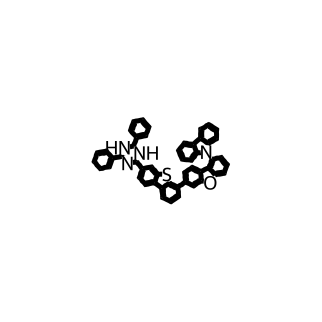 C1=CC(C2=NC(c3ccc4c(c3)sc3c(-c5ccc6c(c5)oc5cccc(-n7c8ccccc8c8ccccc87)c56)cccc34)NC(c3ccccc3)N2)=CCC1